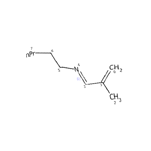 C=C(C)/C=N/CCCCC